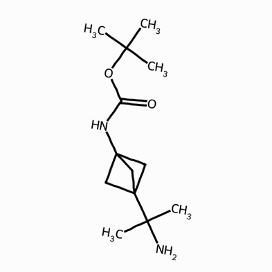 CC(C)(C)OC(=O)NC12CC(C(C)(C)N)(C1)C2